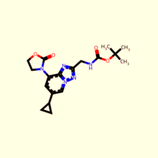 CC(C)(C)OC(=O)NCc1nc2c(N3CCOC3=O)cc(C3CC3)cn2n1